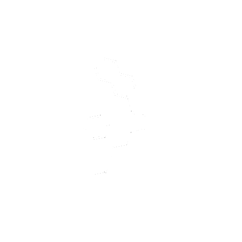 CCC(=C=C(CC1CC(c2ccc3ccccc3c2)=NN1C(C)=O)c1ccccc1)CC